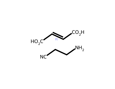 N#CCCN.O=C(O)/C=C/C(=O)O